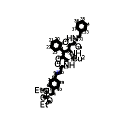 CCOP(=O)(Cc1ccc(/C=C/C(=O)N[C@H](C(=O)C(c2ccccc2)[C@H](N)C(=O)C(=O)NCc2ccccc2)[C@@H](C)CC)cc1)OCC